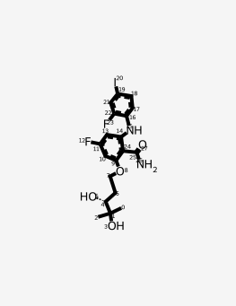 CC(C)(O)[C@H](O)CCOc1cc(F)cc(Nc2ccc(I)cc2F)c1C(N)=O